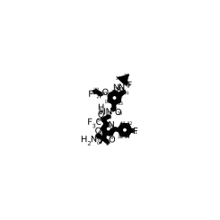 C[C@]1(C(N)=O)COc2c1cc(C(O)(CNC(=O)c1cc(OCCF)c3nn(C4(F)CC4)cc3c1)C(F)(F)F)nc2-c1ccc(F)cc1